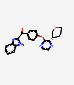 O=C(c1ccc(Oc2nccnc2[C@H]2CCCOC2)cc1)c1nc2ccccc2[nH]1